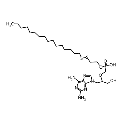 CCCCCCCCCCCCCCCCSSCCOP(=O)(O)COC(CO)Cn1cnc2c(N)nc(N)nc21